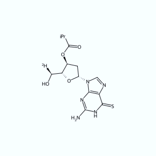 [2H][C@H](O)[C@H]1O[C@@H](n2cnc3c(=S)[nH]c(N)nc32)C[C@@H]1OC(=O)C(C)C